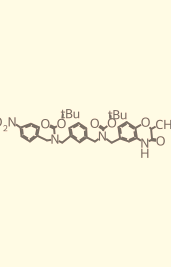 CC1Oc2ccc(CN(Cc3cccc(CN(Cc4ccc([N+](=O)[O-])cc4)C(=O)OC(C)(C)C)c3)C(=O)OC(C)(C)C)cc2NC1=O